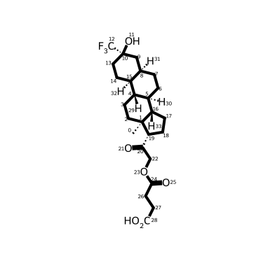 C[C@]12CC[C@H]3[C@@H](CC[C@@H]4C[C@@](O)(C(F)(F)F)CC[C@@H]43)[C@@H]1CC[C@@H]2C(=O)COC(=O)CCC(=O)O